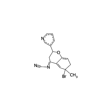 CC1(Br)C=C2C(=CC1)OC(c1cccnc1)C/C2=N\C#N